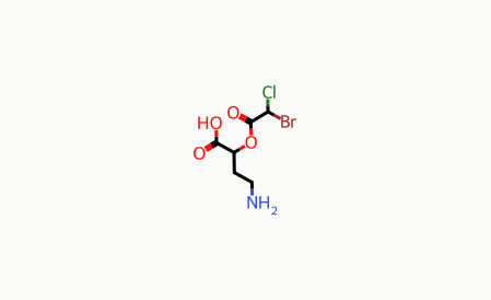 NCCC(OC(=O)C(Cl)Br)C(=O)O